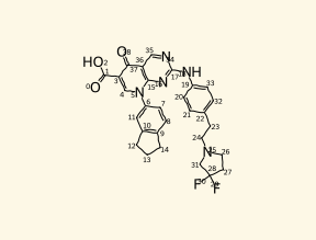 O=C(O)c1cn(-c2ccc3c(c2)CCC3)c2nc(Nc3ccc(CCN4CCC(F)(F)C4)cc3)ncc2c1=O